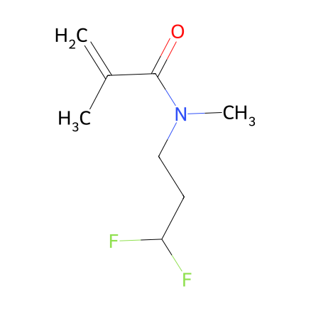 C=C(C)C(=O)N(C)CCC(F)F